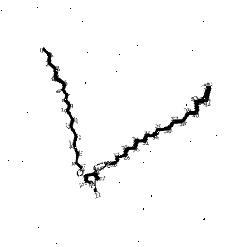 CCCCCC=CCC=CCCCCCCCCO[C@H]1CN(C)C[C@@H]1OCCCCCCCCC=CCC=CCCCCC